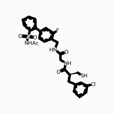 CC(=O)NS(=O)(=O)c1ccccc1-c1ccc(CNC(=O)CNC(=O)[C@@H](CS)Cc2cccc(Cl)c2)c(F)c1